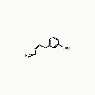 C=C/C=C\Cc1cccc(C=O)c1